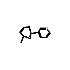 CC1C=CCC(c2cccnc2)N1